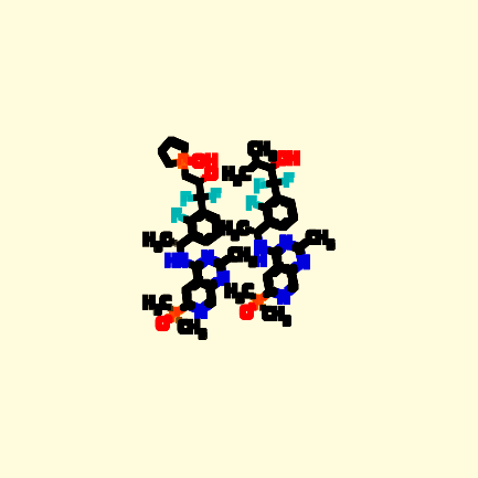 Cc1nc(N[C@H](C)c2cccc(C(F)(F)[C@@H](O)CP3(=O)C=CCC3)c2F)c2cc(P(C)(C)=O)ncc2n1.Cc1nc(N[C@H](C)c2cccc(C(F)(F)[C@H](O)C(C)C)c2F)c2cc(P(C)(C)=O)ncc2n1